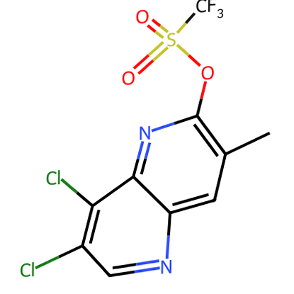 Cc1cc2ncc(Cl)c(Cl)c2nc1OS(=O)(=O)C(F)(F)F